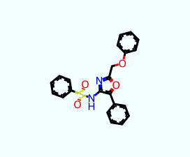 O=S(=O)(Nc1nc(COc2ccccc2)oc1-c1ccccc1)c1ccccc1